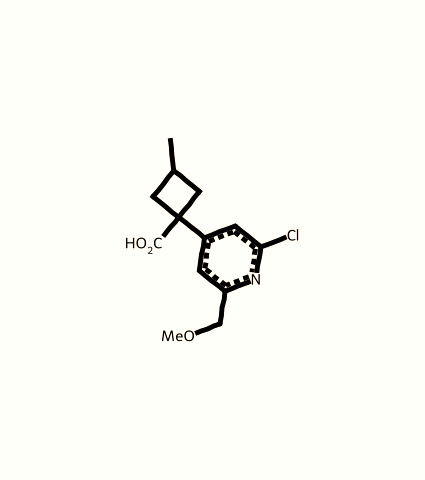 COCc1cc(C2(C(=O)O)CC(C)C2)cc(Cl)n1